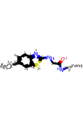 CCCCCNC(=O)CNc1nc2ccc(OC)cc2s1